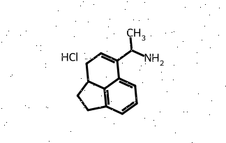 CC(N)C1=CCC2CCc3cccc1c32.Cl